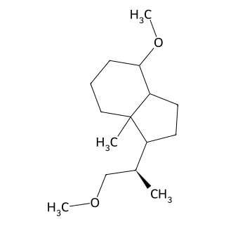 COC[C@H](C)C1CCC2C(OC)CCCC21C